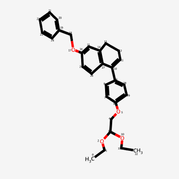 CCOC(COc1ccc(C2=CCCc3cc(OCc4ccccc4)ccc32)cc1)OCC